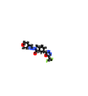 O=C1c2cc(-c3nnc(C(F)F)o3)ccc2CN1NCC1CCOCC1